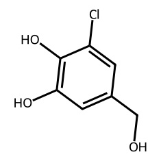 OCc1cc(O)c(O)c(Cl)c1